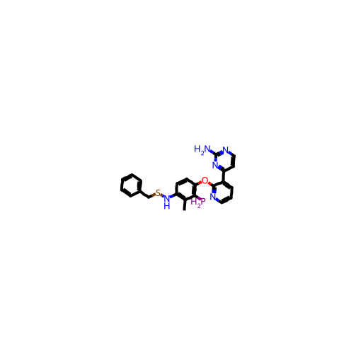 Cc1c(NSCc2ccccc2)ccc(Oc2ncccc2-c2ccnc(N)n2)c1P